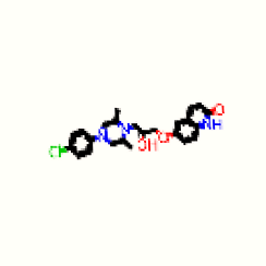 CC1CN(c2ccc(Cl)cc2)CC(C)N1C[C@H](O)COc1ccc2[nH]c(=O)ccc2c1